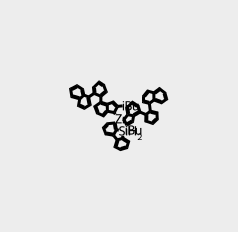 CCC(C)C1=Cc2c(-c3ccccc3-c3cccc4ccccc34)cccc2[CH]1[Zr]([c]1cccc2c1[SiH2]c1ccccc1-2)[CH]1C(C(C)CC)=Cc2c(-c3ccccc3-c3cccc4ccccc34)cccc21